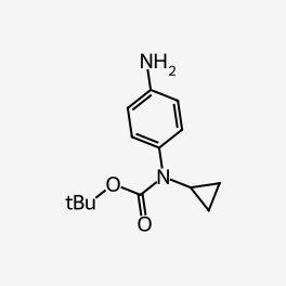 CC(C)(C)OC(=O)N(c1ccc(N)cc1)C1CC1